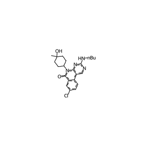 CCCCNc1ncc2c3ccc(Cl)cc3c(=O)n(C3CCC(C)(O)CC3)c2n1